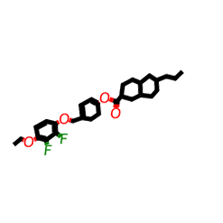 CCCC1CCC2CC(C(=O)OC3=CC=C(COc4ccc(OCC)c(F)c4F)CC3)CCC2C1